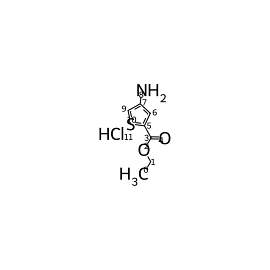 CCOC(=O)c1cc(N)cs1.Cl